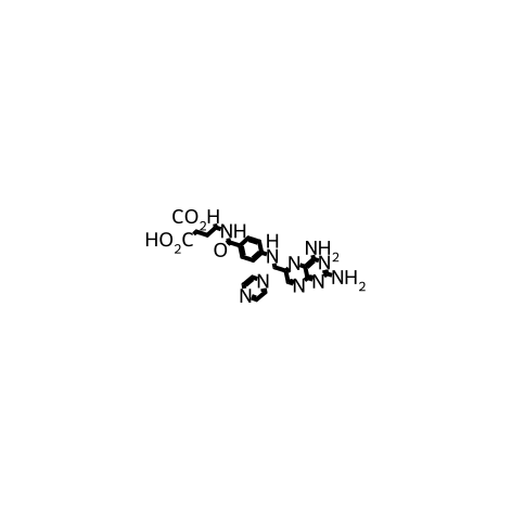 Nc1nc(N)c2nc(CNc3ccc(C(=O)NC(CCC(=O)O)C(=O)O)cc3)cnc2n1.c1cnccn1